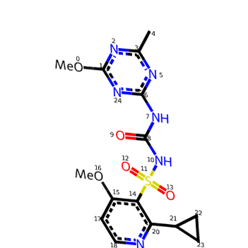 COc1nc(C)nc(NC(=O)NS(=O)(=O)c2c(OC)ccnc2C2CC2)n1